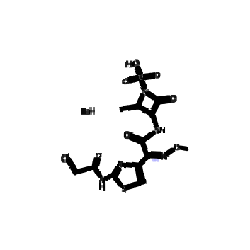 CO/N=C(\C(=O)NC1C(=O)N(S(=O)(=O)O)C1C)c1csc(NC(=O)CCl)n1.[NaH]